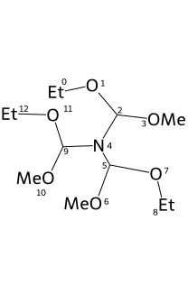 CCOC(OC)N(C(OC)OCC)C(OC)OCC